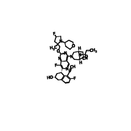 C#Cc1c(F)ccc2c1[C@@H](c1ncc3c(N4C[C@H]5CC(C#N)[C@@H](C4)N5C(=O)C=C)nc(OC[C@]4(C)C[C@@H](F)CN4C4CCOCC4)nc3c1F)C[C@@H](O)C2